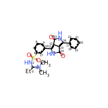 CCC(NS(=O)(=O)c1cccc(C2=C3C(=O)NC(c4ccccc4)=C3C(=O)N2)c1)N(C)C